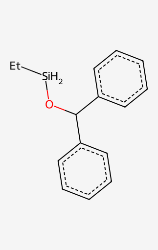 [CH2]C[SiH2]OC(c1ccccc1)c1ccccc1